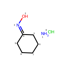 Cl.N.ON=C1CCCCC1